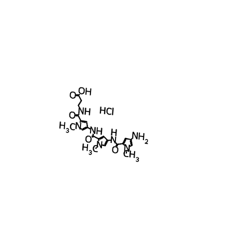 Cl.Cn1cc(NC(=O)c2cc(NC(=O)c3cc(N)cn3C)cn2C)cc1C(=O)NCCC(=O)O